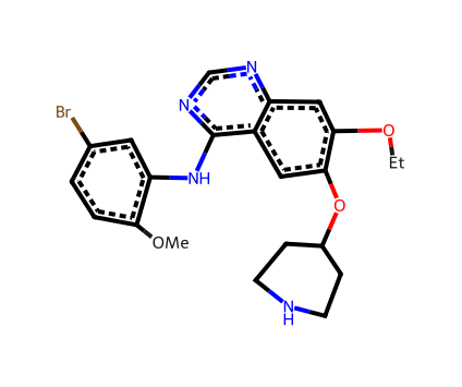 CCOc1cc2ncnc(Nc3cc(Br)ccc3OC)c2cc1OC1CCNCC1